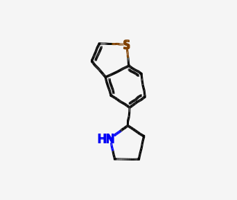 c1cc2cc(C3CCCN3)ccc2s1